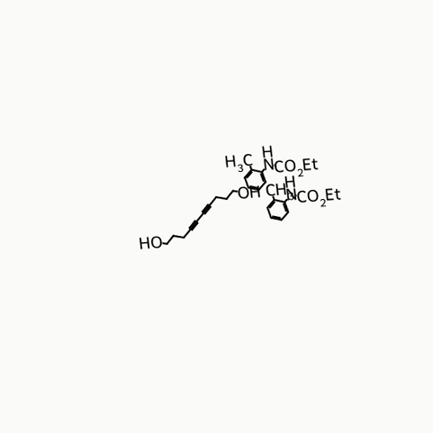 CCOC(=O)Nc1ccccc1C.CCOC(=O)Nc1ccccc1C.OCCCC#CC#CCCCO